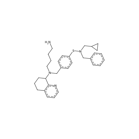 NCCCCN(Cc1ccc(SN(Cc2ccccc2)CC2CC2)cc1)C1CCCc2cccnc21